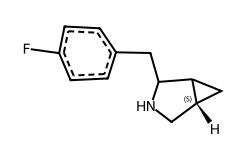 Fc1ccc(CC2NC[C@H]3CC23)cc1